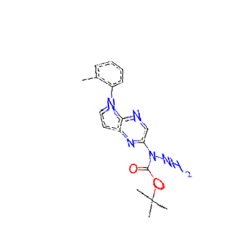 Cc1ccccc1-n1ccc2nc(N(N)C(=O)OC(C)(C)C)cnc21